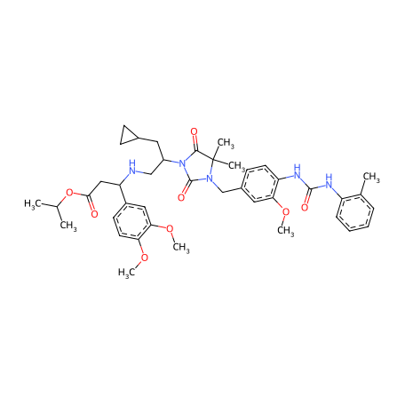 COc1cc(CN2C(=O)N(C(CNC(CC(=O)OC(C)C)c3ccc(OC)c(OC)c3)CC3CC3)C(=O)C2(C)C)ccc1NC(=O)Nc1ccccc1C